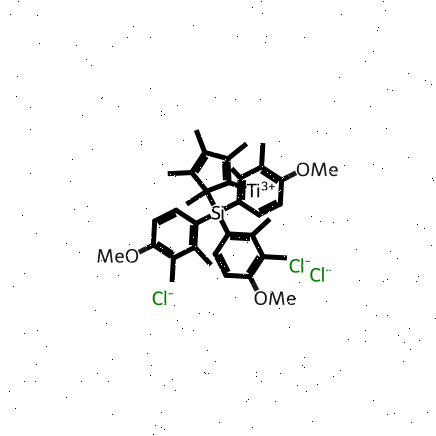 COc1ccc([Si](c2ccc(OC)c(C)c2C)(c2ccc(OC)c(C)c2C)C2(C)C(C)=C(C)C(C)=[C]2[Ti+3])c(C)c1C.[Cl-].[Cl-].[Cl-]